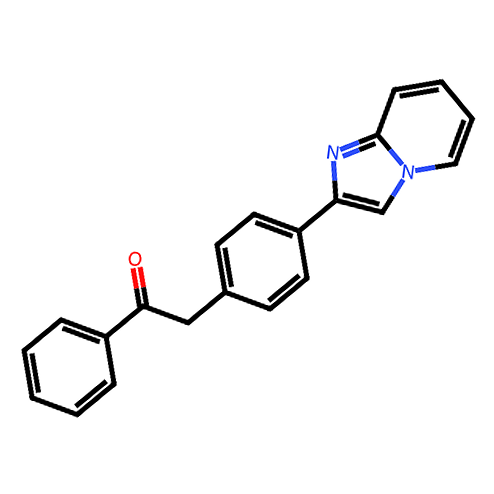 O=C(Cc1ccc(-c2cn3ccccc3n2)cc1)c1ccccc1